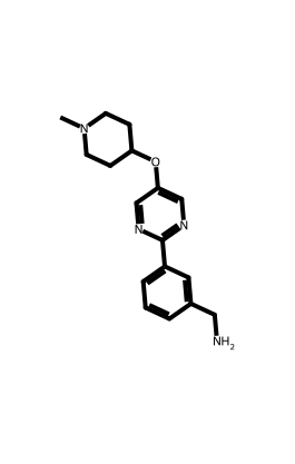 CN1CCC(Oc2cnc(-c3cccc(CN)c3)nc2)CC1